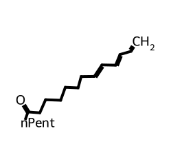 C=CC=CC=CCCCCCCC(=O)CCCCC